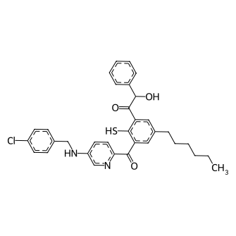 CCCCCCc1cc(C(=O)c2ccc(NCc3ccc(Cl)cc3)cn2)c(S)c(C(=O)C(O)c2ccccc2)c1